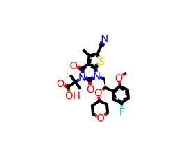 COc1ccc(F)cc1[C@H](Cn1c(=O)n(C(C)(C)C(=O)O)c(=O)c2c(C)c(C#N)sc21)OC1CCOCC1